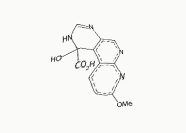 COc1ccc2c3c(cnc2n1)N=CNC3(O)C(=O)O